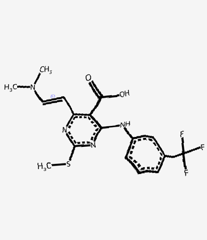 CSc1nc(/C=C/N(C)C)c(C(=O)O)c(Nc2cccc(C(F)(F)F)c2)n1